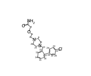 NC(=O)COCCN1CCN(Cc2ccccc2-c2ccc(Cl)cc2)CC1